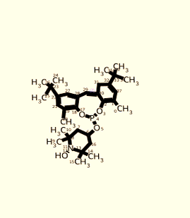 CC1=C2OP(OC3CC(C)(C)N(O)C(C)(C)C3)Oc3c(C)cc(C(C)(C)C)cc3/C=C\2CC(C(C)(C)C)=C1